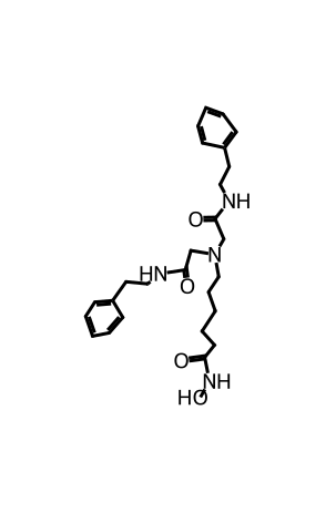 O=C(CCCCCN(CC(=O)NCCc1ccccc1)CC(=O)NCCc1ccccc1)NO